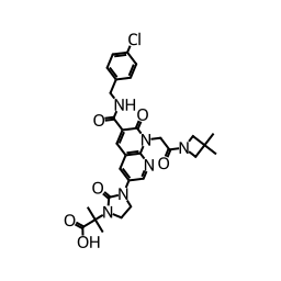 CC1(C)CN(C(=O)Cn2c(=O)c(C(=O)NCc3ccc(Cl)cc3)cc3cc(N4CCN(C(C)(C)C(=O)O)C4=O)cnc32)C1